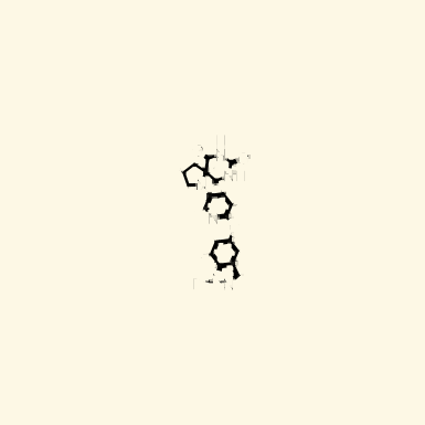 CC(C)n1ncc2cc(Oc3ccc(N4CCCC45C(=O)NC(=O)NC5=O)cn3)ccc21